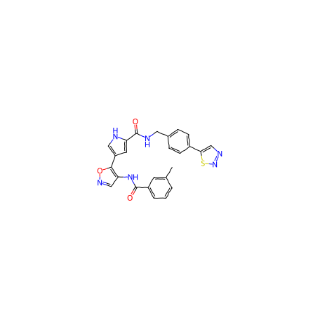 Cc1cccc(C(=O)Nc2cnoc2-c2c[nH]c(C(=O)NCc3ccc(-c4cnns4)cc3)c2)c1